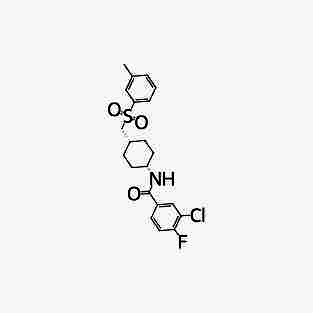 Cc1cccc(S(=O)(=O)C[C@H]2CC[C@@H](NC(=O)c3ccc(F)c(Cl)c3)CC2)c1